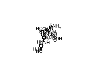 CC1(C)[C@H](NC(=O)/C(=N\O[C@](C)(C(=O)O)[C@H]2CCc3cc(C(=N)NC4CCC(N)(CO)CC4)ccc3O2)c2csc(N)n2)C(=O)N1OS(=O)(=O)O